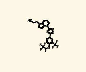 CC(Oc1ccc(-c2nc(-c3cccc4c3ccn4CCO)no2)cc1C(F)(F)F)C(F)(F)F